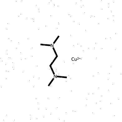 CN(C)CCN(C)C.[Cu+2]